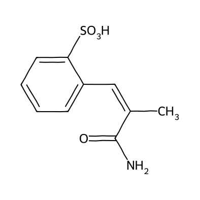 CC(=Cc1ccccc1S(=O)(=O)O)C(N)=O